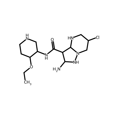 CCOC1CCNCC1NC(=O)C1C(N)NN2CC(Cl)CNC12